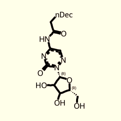 CCCCCCCCCCCC(=O)Nc1cnn([C@@H]2O[C@H](CO)C(O)C2O)c(=O)n1